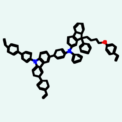 C=CC1=CC=C(C2C=c3c(n(-c4ccc(-c5ccc(C=C)cc5)cc4)c4ccc(C5C=CC(N(c6ccccc6)c6ccc7c(c6)C(CCCCOc6ccc(C=C)cc6)(c6ccccc6)C6C=CC=CC76)=CC5)cc34)=CC2)CC1